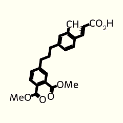 COC(=O)c1ccc(CCCc2ccc(/C=C/C(=O)O)c(C)c2)cc1C(=O)OC